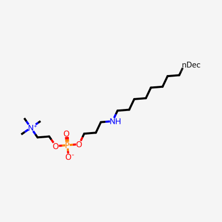 CCCCCCCCCCCCCCCCCCNCCCOP(=O)([O-])OCC[N+](C)(C)C